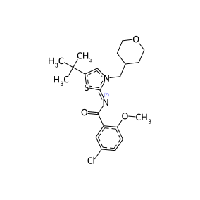 COc1ccc(Cl)cc1C(=O)/N=c1\sc(C(C)(C)C)cn1CC1CCOCC1